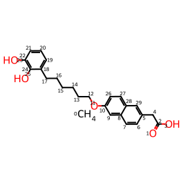 C.O=C(O)Cc1ccc2cc(OCCCCCCc3cccc(O)c3O)ccc2c1